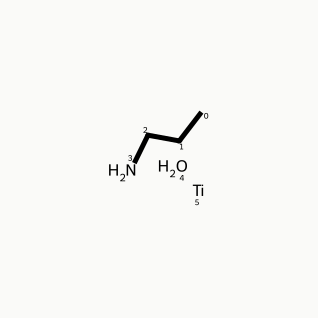 CCCN.O.[Ti]